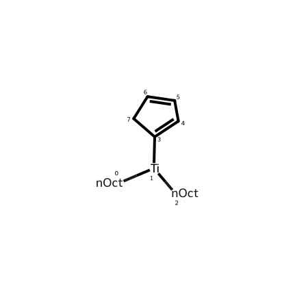 CCCCCCC[CH2][Ti]([CH2]CCCCCCC)[C]1=CC=CC1